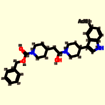 CC(=O)Nc1ccc2[nH]cc(C3CCN(C(O)CC4CCN(C(=O)OCc5ccccc5)CC4)CC3)c2c1